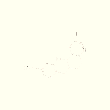 COc1ccc(CC2CCc3ncc(C)cc3C2O)cc1